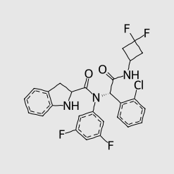 O=C(NC1CC(F)(F)C1)[C@H](c1ccccc1Cl)N(C(=O)C1Cc2ccccc2N1)c1cc(F)cc(F)c1